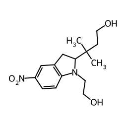 CC(C)(CCO)C1Cc2cc([N+](=O)[O-])ccc2N1CCO